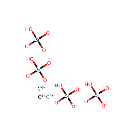 [C+4].[C+4].[C+4].[O-][Si]([O-])([O-])O.[O-][Si]([O-])([O-])O.[O-][Si]([O-])([O-])O.[O-][Si]([O-])([O-])O